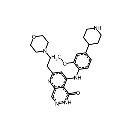 COc1cc(C2CCNCC2)ccc1Nc1cc(CCN2CCOCC2)nc2cn[nH]c(=O)c12